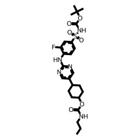 CCCNC(=O)OC1CCC(c2cnc(Nc3ccc(S(=O)(=O)NC(=O)OC(C)(C)C)cc3F)nc2)CC1